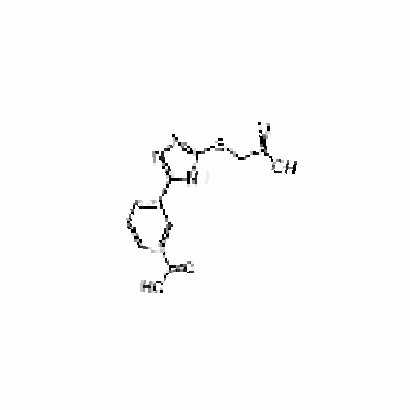 O=C(O)CSc1nnc(-c2cccc(C(=O)O)c2)[nH]1